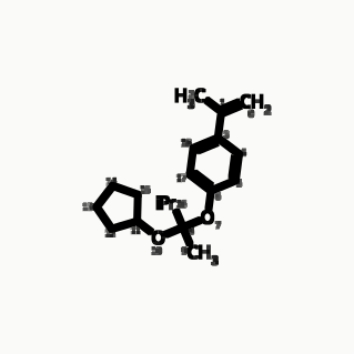 C=C(C)c1ccc(OC(C)(OC2CCCC2)C(C)C)cc1